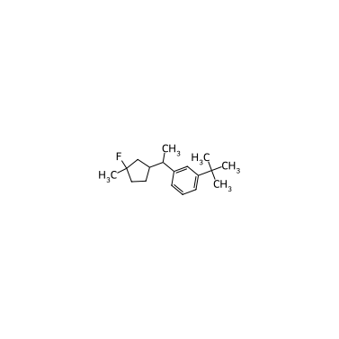 CC(c1cccc(C(C)(C)C)c1)C1CCC(C)(F)C1